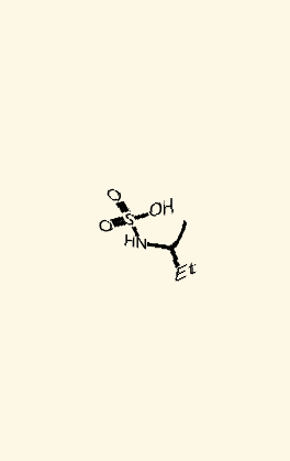 CCC(C)NS(=O)(=O)O